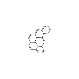 C=C1c2ccccc2C=C2C=Cc3ccc4cccc(C)c4c3C12